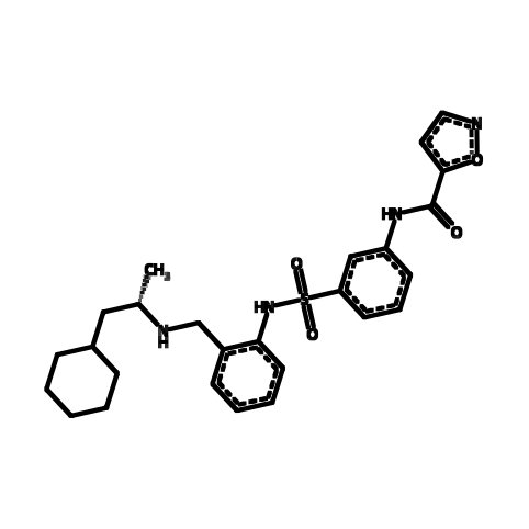 C[C@@H](CC1CCCCC1)NCc1ccccc1NS(=O)(=O)c1cccc(NC(=O)c2ccno2)c1